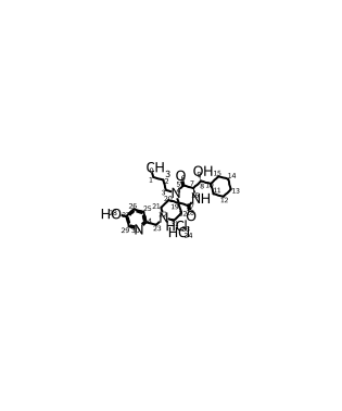 CCCCN1C(=O)[C@@H]([C@H](O)C2CCCCC2)NC(=O)C12CCN(Cc1ccc(O)cn1)CC2.Cl.Cl